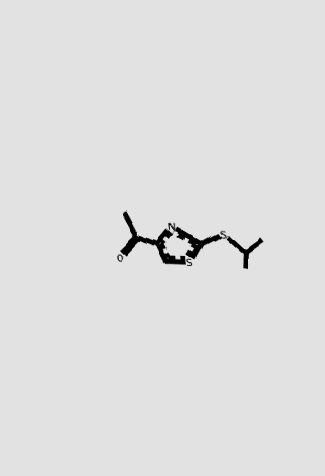 CC(=O)c1csc(SC(C)C)n1